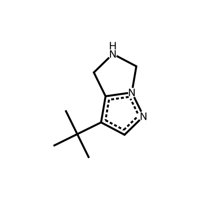 CC(C)(C)c1cnn2c1CNC2